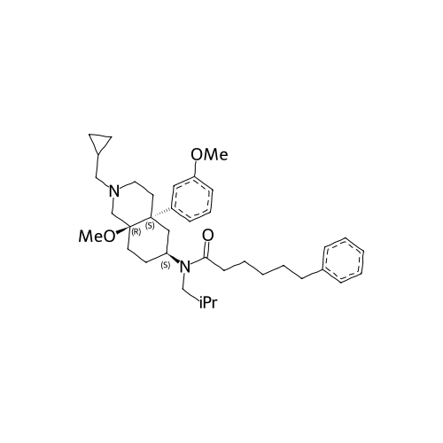 COc1cccc([C@@]23CCN(CC4CC4)C[C@@]2(OC)CC[C@H](N(CC(C)C)C(=O)CCCCCc2ccccc2)C3)c1